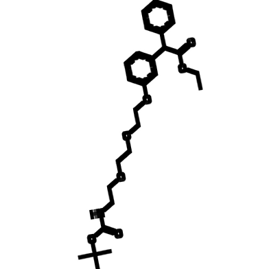 CCOC(=O)C(c1ccccc1)c1cccc(OCCOCCOCCNC(=O)OC(C)(C)C)c1